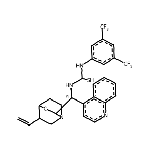 C=CC1CN2CCC1CC2[C@@H](NC(S)Nc1cc(C(F)(F)F)cc(C(F)(F)F)c1)c1ccnc2ccccc12